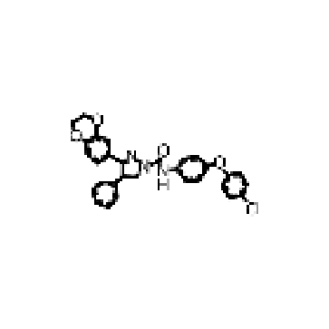 O=C(Nc1ccc(Oc2ccc(Cl)cc2)cc1)N1CC(c2ccccc2)C(c2ccc3c(c2)OCCO3)=N1